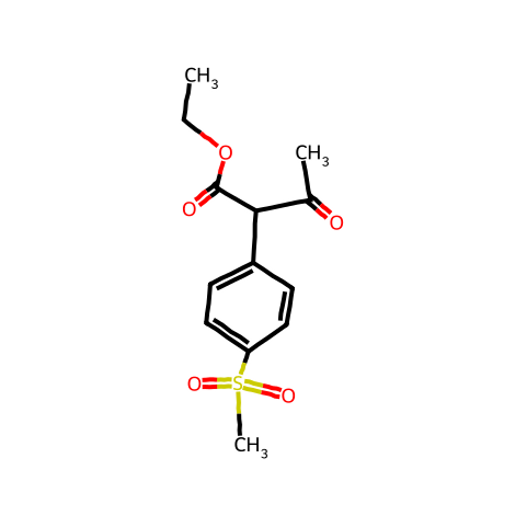 CCOC(=O)C(C(C)=O)c1ccc(S(C)(=O)=O)cc1